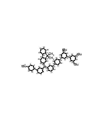 CC(C)(C)c1ccc(-c2cccc(N(c3cccc(-c4ccc(-c5cc(-c6cc(C(C)(C)C)cc(C(C)(C)C)c6)cc(C(C)(C)C)c5)cc4)c3)c3ccc4c(c3)C(C)(C)c3ccccc3-4)c2)cc1